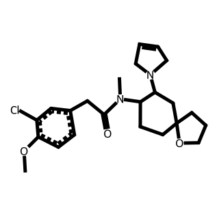 COc1ccc(CC(=O)N(C)C2CCC3(CCCO3)CC2N2CC=CC2)cc1Cl